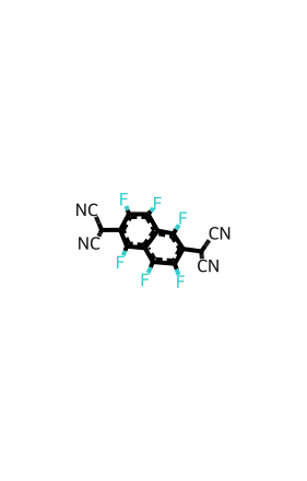 N#CC(C#N)c1c(F)c(F)c2c(F)c(C(C#N)C#N)c(F)c(F)c2c1F